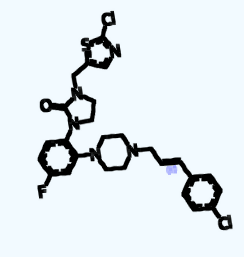 O=C1N(Cc2cnc(Cl)s2)CCN1c1ccc(F)cc1N1CCN(C/C=C/c2ccc(Cl)cc2)CC1